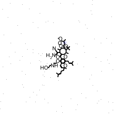 COC(=O)/C(C)=C\CC12OC(C)(C)C1C(C)C1Oc3c(CC=C(C)C)c4c(c(OCCNCCO)c3C3=C1C(C(C#N)=C(N)O3)C(C)C2=O)C=CC(C)(CCC=C(C)C)O4